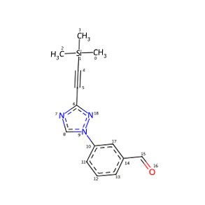 C[Si](C)(C)C#Cc1ncn(-c2cccc(C=O)c2)n1